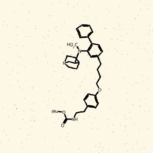 CC(C)(C)OC(=O)NCCc1ccc(OCCCCc2ccc(-c3ccccc3)c(N(C(=O)O)C3CN4CCC3CC4)c2)cc1